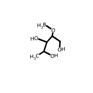 BOC(CO)C(O)C(C)O